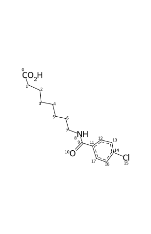 O=C(O)CCCCCCCNC(=O)c1ccc(Cl)cc1